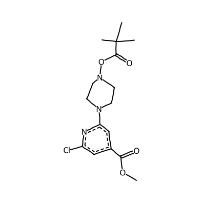 COC(=O)c1cc(Cl)nc(N2CCN(OC(=O)C(C)(C)C)CC2)c1